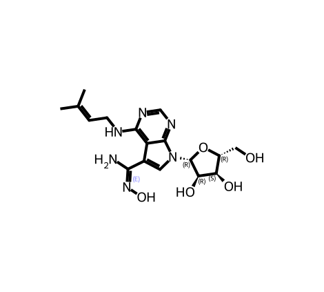 CC(C)=CCNc1ncnc2c1c(/C(N)=N\O)cn2[C@@H]1O[C@H](CO)[C@@H](O)[C@H]1O